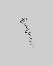 CCCCCCCCC=CCCCCCCCCCC(N)=O.[K]